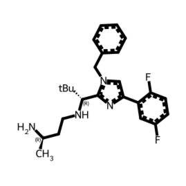 C[C@@H](N)CCN[C@@H](c1nc(-c2cc(F)ccc2F)cn1Cc1ccccc1)C(C)(C)C